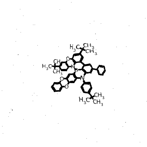 CC(C)(C)c1ccc(N2c3cc4c(cc3B3c5c(cc(-c6ccccc6)cc52)-c2cc(C(C)(C)C)cc5c2N3c2ccc(C(C)(C)C)cc2O5)Oc2ccccc2O4)cc1